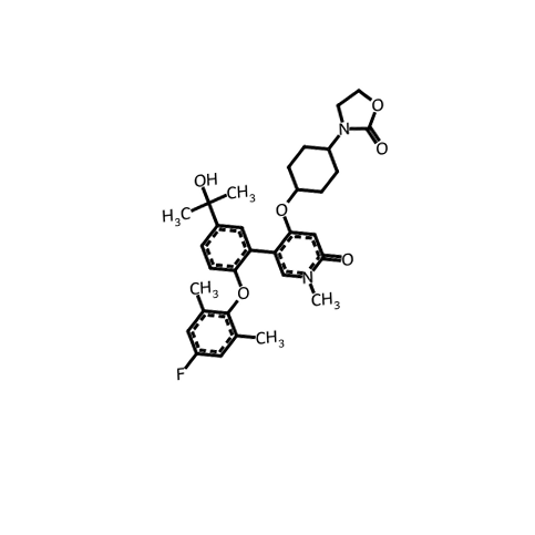 Cc1cc(F)cc(C)c1Oc1ccc(C(C)(C)O)cc1-c1cn(C)c(=O)cc1OC1CCC(N2CCOC2=O)CC1